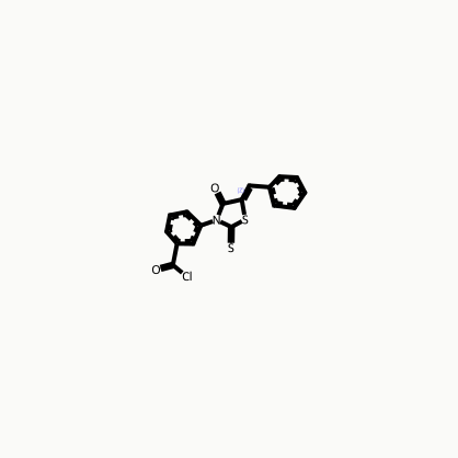 O=C(Cl)c1cccc(N2C(=O)/C(=C/c3ccccc3)SC2=S)c1